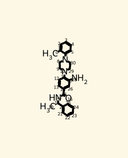 Cc1ccccc1N1CCN(c2ccc(C(=O)N[C@@H](C)c3ccccc3)cc2N)CC1